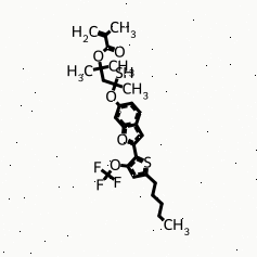 C=C(C)C(=O)OC(C)(C)CC(C)(S)Oc1ccc2cc(-c3sc(CCCCC)cc3OC(F)(F)F)oc2c1